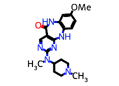 COc1ccc2c(c1)NC(=O)c1cnc(N(C)C3CCN(C)CC3)nc1N2